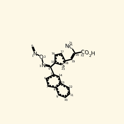 C=NO/N=C(/c1ccc2ccccc2c1)c1ccc(/C=C(\C#N)C(=O)O)s1